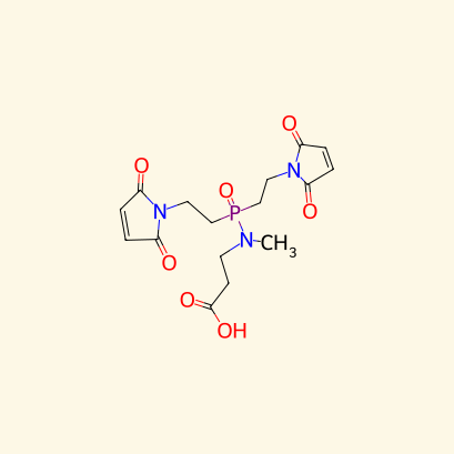 CN(CCC(=O)O)P(=O)(CCN1C(=O)C=CC1=O)CCN1C(=O)C=CC1=O